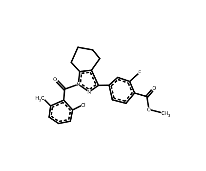 COC(=O)c1ccc(-c2nn(C(=O)c3c(C)cccc3Cl)c3c2CCCC3)cc1F